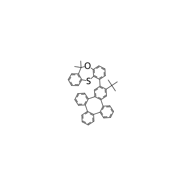 CC(C)(C)c1cc2c(cc1-c1cccc3c1Sc1ccccc1C(C)(C)O3)-c1ccccc1-c1ccccc1-c1ccccc1-2